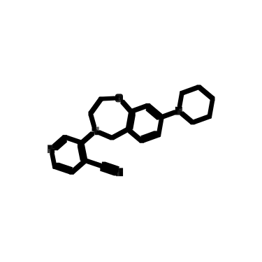 N#Cc1ccncc1N1CCOc2cc(N3CCCCC3)ccc2C1